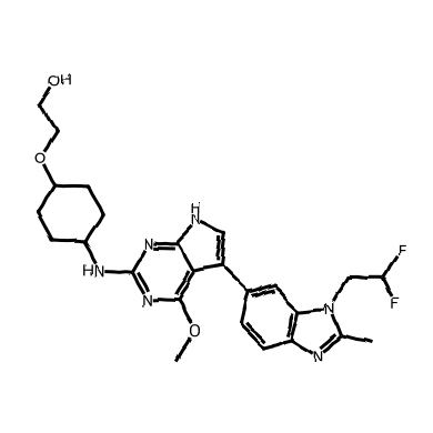 COc1nc(NC2CCC(OCCO)CC2)nc2[nH]cc(-c3ccc4nc(C)n(CC(F)F)c4c3)c12